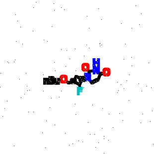 CCCCOC[C@H]1C[C@@H](n2ccc(=O)[nH]c2=O)C1F